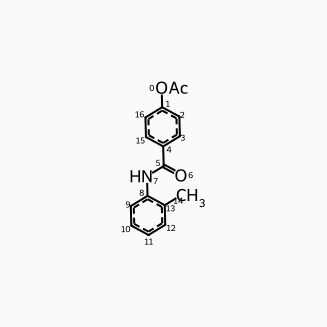 CC(=O)Oc1ccc(C(=O)Nc2ccccc2C)cc1